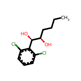 CCCC[C@@H](O)[C@H](O)c1c(Cl)cccc1Cl